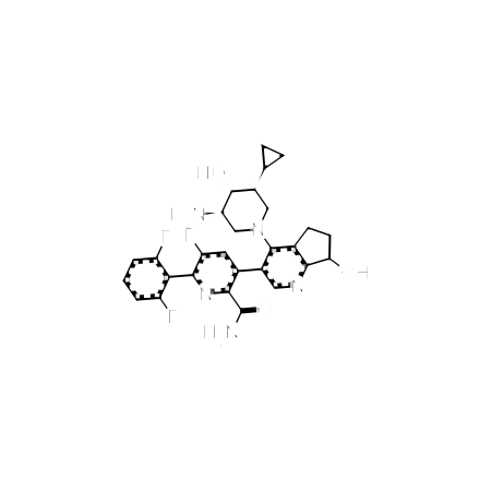 NC(=O)c1nc(-c2c(F)cccc2F)c(F)cc1-c1cnc2c(c1N1C[C@@H](N)[C@H](O)[C@@H](C3CC3)C1)CCC2O